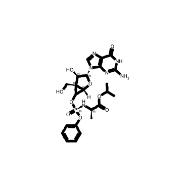 CC(C)OC(=O)[C@@H](C)N[P@](=O)(Oc1ccccc1)OC1[C@H]2O[C@@H](n3cnc4c(=O)[nH]c(N)nc43)[C@H](O)[C@@]12CO